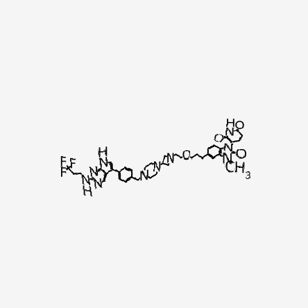 Cn1c(=O)n([C@H]2CCC(=O)NC2=O)c2ccc(CCCOCCN3CC(N4CCN(Cc5ccc(-c6c[nH]c7nc(NCCC(F)(F)F)ncc67)cc5)CC4)C3)cc21